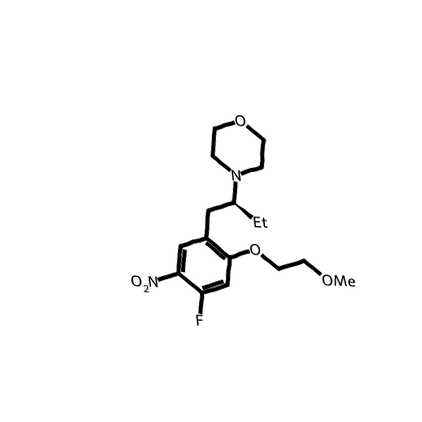 CC[C@@H](Cc1cc([N+](=O)[O-])c(F)cc1OCCOC)N1CCOCC1